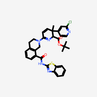 CC(C)(C)OC(=O)C1N=C(N2CCc3cccc(C(=O)Nc4nc5ccccc5s4)c3C2)C=CC1(C)c1ccnc(Cl)c1